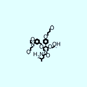 COCCCCOc1ccc([C@@H]2[C@@H](OCc3ccc4c(c3)N(CCCOC)CCO4)CN(C(=O)[C@@H](N)CC(C)C)C[C@H]2OC[C@@H](C)O)cc1